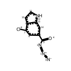 [N-]=[N+]=NC(=O)c1cc(Cl)c2cc[nH]c2c1